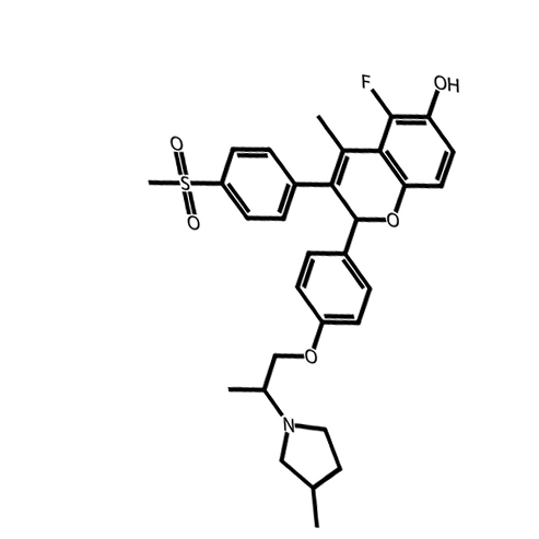 CC1=C(c2ccc(S(C)(=O)=O)cc2)C(c2ccc(OCC(C)N3CCC(C)C3)cc2)Oc2ccc(O)c(F)c21